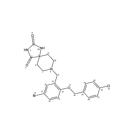 O=C1NC(=O)C2(CCN(Cc3cc(Br)ccc3OCc3ccc(Cl)cc3)CC2)N1